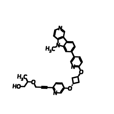 CC(CO)OCC#Cc1ccc(O[C@H]2C[C@H](Oc3ccc(-c4ccc5c6cnccc6n(C)c5c4)cn3)C2)cn1